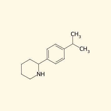 CC(C)c1ccc(C2CCCCN2)cc1